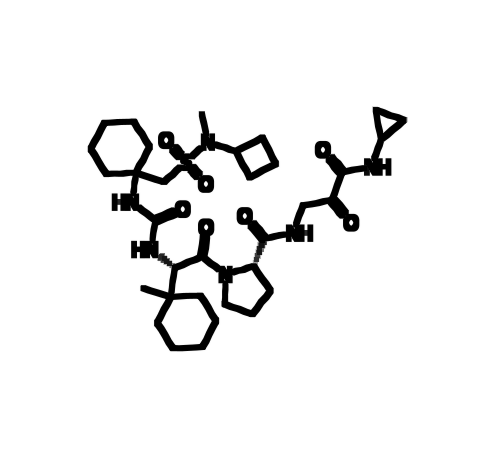 CN(C1CCC1)S(=O)(=O)CC1(NC(=O)N[C@H](C(=O)N2CCC[C@H]2C(=O)NCC(=O)C(=O)NC2CC2)C2(C)CCCCC2)CCCCC1